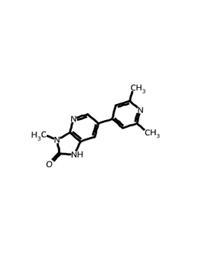 Cc1cc(-c2cnc3c(c2)[nH]c(=O)n3C)cc(C)n1